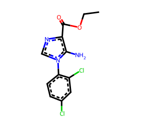 CCOC(=O)c1ncn(-c2ccc(Cl)cc2Cl)c1N